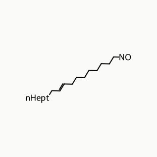 CCCCCCCCC=CCCCCCCCCN=O